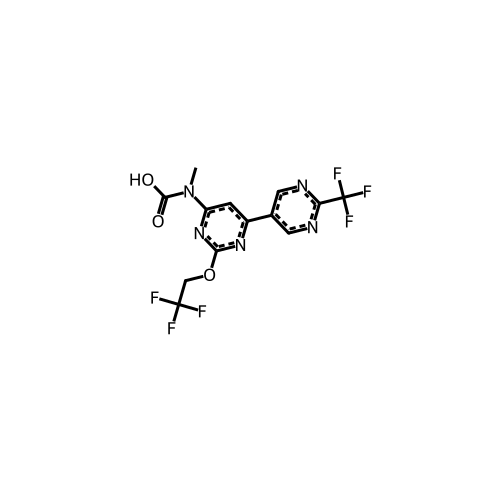 CN(C(=O)O)c1cc(-c2cnc(C(F)(F)F)nc2)nc(OCC(F)(F)F)n1